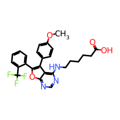 COc1ccc(-c2c(-c3ccccc3C(F)(F)F)oc3ncnc(NCCCCCC(=O)O)c23)cc1